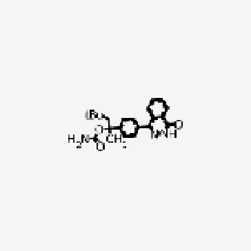 CC(C)(C)CC(C)(OC(N)=O)c1ccc(-c2n[nH]c(=O)c3ccccc23)cc1